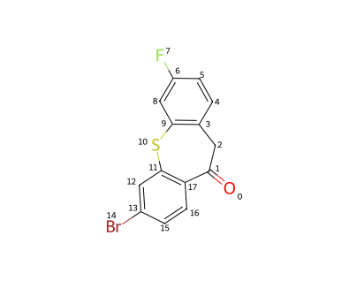 O=C1Cc2ccc(F)cc2Sc2cc(Br)ccc21